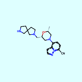 C[C@@H]1CN(c2ccc(C#N)n3nccc23)C[C@H](CN2CCC3(CCNC3)C2)O1